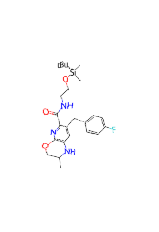 CC1COc2nc(C(=O)NCCO[Si](C)(C)C(C)(C)C)c(Cc3ccc(F)cc3)cc2N1